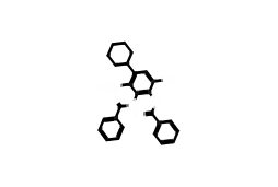 CCCCc1c(C2CCCCC2)cc(CC)c(OC(=O)c2ccccc2)c1OC(=O)c1ccccc1